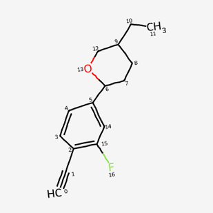 C#Cc1ccc(C2CCC(CC)CO2)cc1F